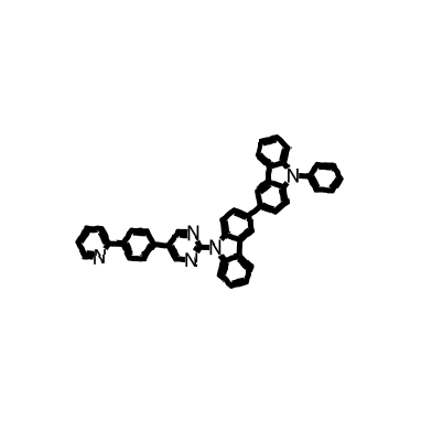 c1ccc(-n2c3ccccc3c3cc(-c4ccc5c(c4)c4ccccc4n5-c4ncc(-c5ccc(-c6ccccn6)cc5)cn4)ccc32)cc1